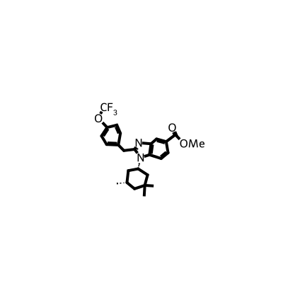 COC(=O)c1ccc2c(c1)nc(Cc1ccc(OC(F)(F)F)cc1)n2[C@H]1C[C@@H](C)CC(C)(C)C1